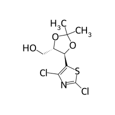 CC1(C)O[C@@H](CO)[C@H](c2sc(Cl)nc2Cl)O1